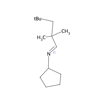 CC(C)(C)CC(C)(C)/C=N/C1CCCC1